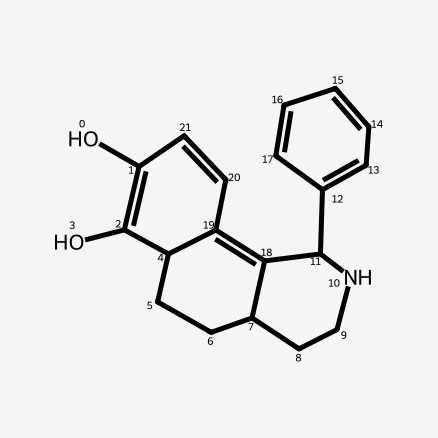 OC1=C(O)C2CCC3CCNC(c4ccccc4)C3=C2C=C1